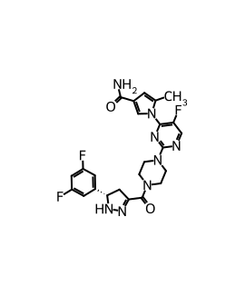 Cc1cc(C(N)=O)cn1-c1nc(N2CCN(C(=O)C3=NN[C@H](c4cc(F)cc(F)c4)C3)CC2)ncc1F